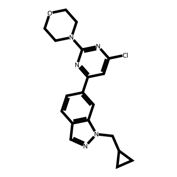 Clc1cc(-c2ccc3cnn(CC4CC4)c3c2)nc(N2CCOCC2)n1